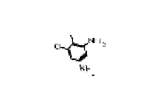 Cc1c(N)cccc1Cl.N